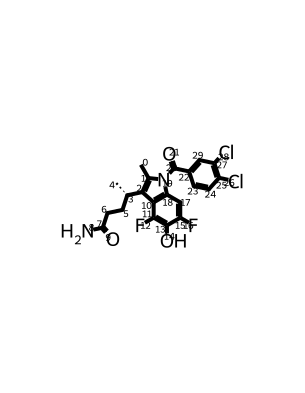 Cc1c([C@@H](C)CCC(N)=O)c2c(F)c(O)c(F)cc2n1C(=O)c1ccc(Cl)c(Cl)c1